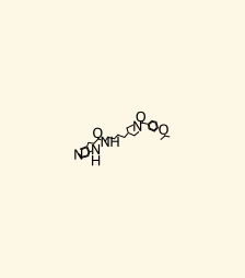 CC(C)Oc1ccc(C(=O)N2CCC(CCCCNC(=O)C3Cc4cnccc4N3)CC2)cc1